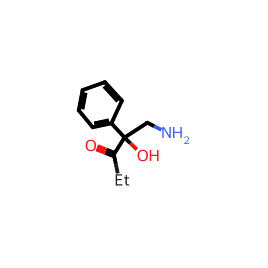 CCC(=O)C(O)(CN)c1ccccc1